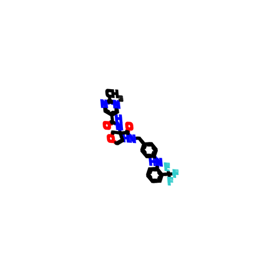 Cc1ncc(C(=O)N[C@@]2(C(=O)NCc3ccc(Nc4ccccc4C(F)(F)F)cc3)CCOC2)cn1